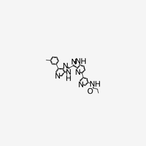 CCC(=O)Nc1cncc(-c2ccc3[nH]nc(-c4nc5c(-c6cccc(C)c6)cncc5[nH]4)c3n2)c1